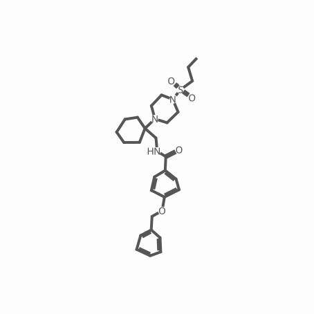 CCCS(=O)(=O)N1CCN(C2(CNC(=O)c3ccc(OCc4ccccc4)cc3)CCCCC2)CC1